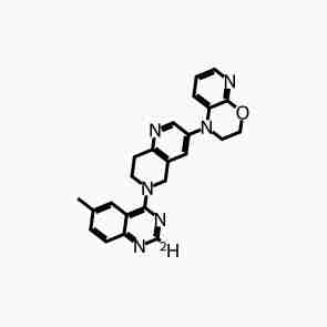 [2H]c1nc(N2CCc3ncc(N4CCOc5ncccc54)cc3C2)c2cc(C)ccc2n1